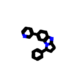 c1ccc(C2CCc3nc4ccc(-c5cccnc5)cc4n32)cc1